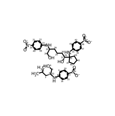 CC(C)C[C@@H](CO)Nc1ccc([N+](=O)[O-])cc1.O=[N+]([O-])c1ccc(NC(CO)CCC[C@H](O)C2(Nc3ccc([N+](=O)[O-])cc3)CCCC2)cc1